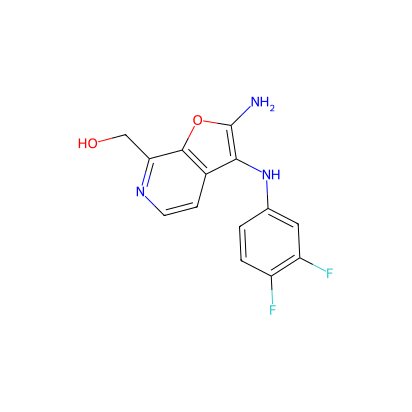 Nc1oc2c(CO)nccc2c1Nc1ccc(F)c(F)c1